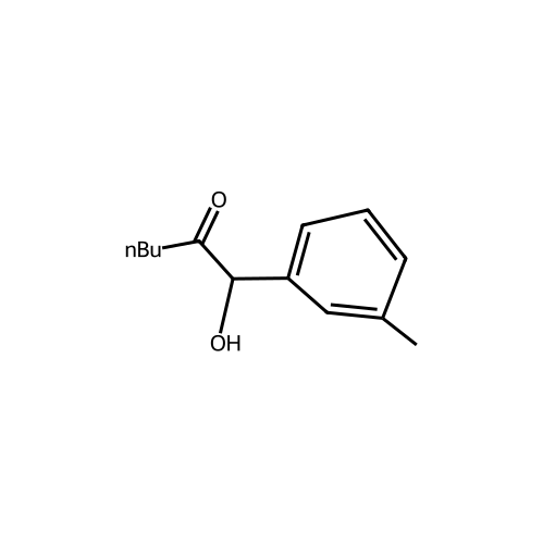 CCCCC(=O)C(O)c1cccc(C)c1